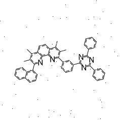 Cc1c(-c2cccc(-c3nc(-c4ccccc4)nc(-c4ccccc4)n3)c2)nc2c(ccc3c(C)c(C)c(-c4cccc5ccccc45)nc32)c1C